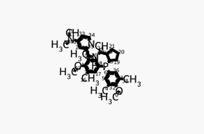 COc1c(C)cc(P(c2cc(C)c(OC)c(C)c2)C2CCCC2[C@@H](C)NCc2cc(N(C)C)ccn2)cc1C